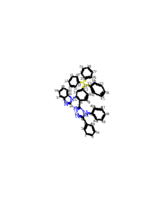 c1ccc(-c2nnc(-c3ccc(S(c4ccccc4)(c4ccccc4)c4ccccc4)cc3-n3cnc4ccccc43)n2-c2ccccc2)cc1